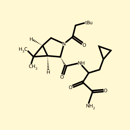 CC(C)(C)CC(=O)N1C[C@H]2[C@@H]([C@H]1C(=O)NC(CC1CC1)C(=O)C(N)=O)C2(C)C